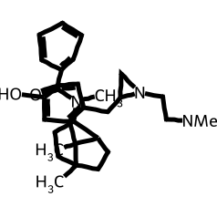 CNCCN1CC1Cc1ccc(O)cc1C1(C)C2CCC1(C)CCC2N(C)C(=O)c1ccccc1